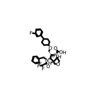 O=C(O)N1[C@@H]2COC[C@@H]2[C@H](N(Cc2ccccc2)C(=O)C(F)(F)F)[C@@H]1COC1CCC(c2cccc(F)c2)CC1